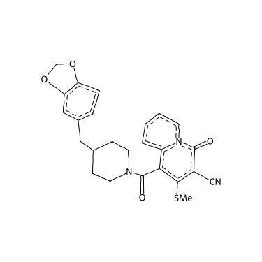 CSc1c(C#N)c(=O)n2ccccc2c1C(=O)N1CCC(Cc2ccc3c(c2)OCO3)CC1